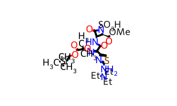 CCN(CC)CC.COC(=O)[C@H]1[C@@H](NC(=O)/C(=N\OC(C)(C)C(=O)OCC[Si](C)(C)C)c2csc(N)n2)C(=O)N1S(=O)(=O)O